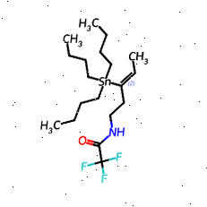 C/C=[C](/CCNC(=O)C(F)(F)F)[Sn]([CH2]CCC)([CH2]CCC)[CH2]CCC